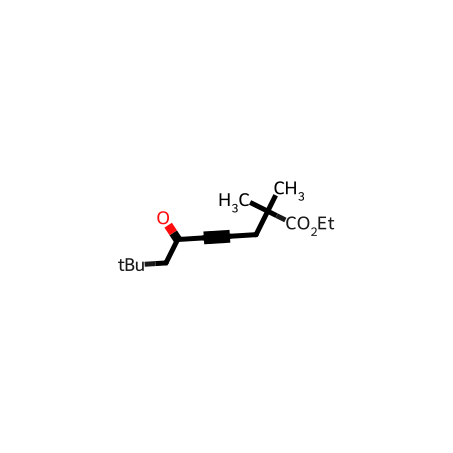 CCOC(=O)C(C)(C)CC#CC(=O)CC(C)(C)C